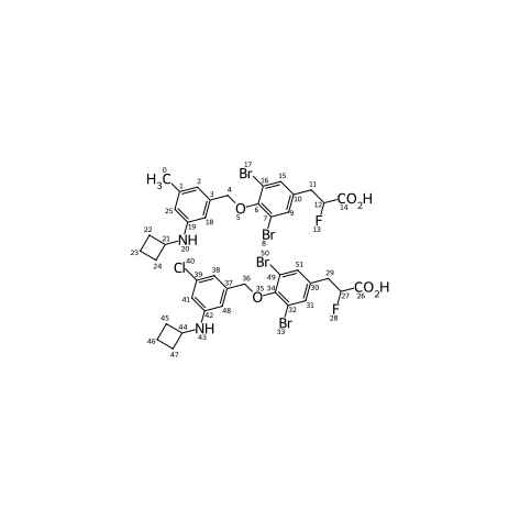 Cc1cc(COc2c(Br)cc(CC(F)C(=O)O)cc2Br)cc(NC2CCC2)c1.O=C(O)C(F)Cc1cc(Br)c(OCc2cc(Cl)cc(NC3CCC3)c2)c(Br)c1